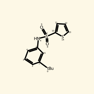 CC(C)(C)c1cccc(NS(=O)(=O)c2cccs2)c1